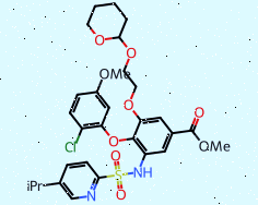 COC(=O)c1cc(NS(=O)(=O)c2ccc(C(C)C)cn2)c(Oc2cc(OC)ccc2Cl)c(OCCOC2CCCCO2)c1